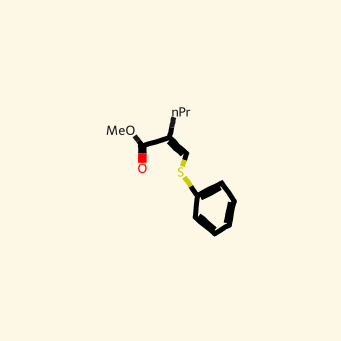 CCCC(=CSc1ccccc1)C(=O)OC